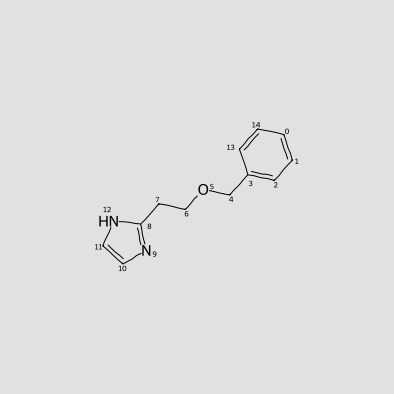 c1ccc(COCCc2ncc[nH]2)cc1